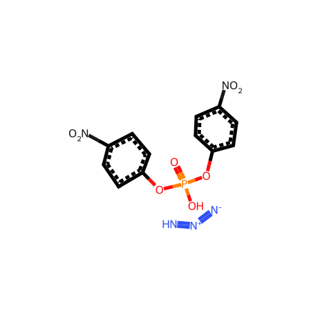 O=[N+]([O-])c1ccc(OP(=O)(O)Oc2ccc([N+](=O)[O-])cc2)cc1.[N-]=[N+]=N